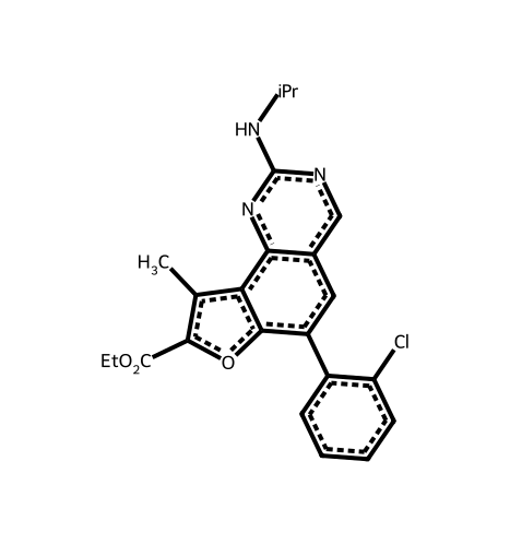 CCOC(=O)c1oc2c(-c3ccccc3Cl)cc3cnc(NC(C)C)nc3c2c1C